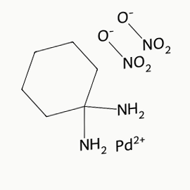 NC1(N)CCCCC1.O=[N+]([O-])[O-].O=[N+]([O-])[O-].[Pd+2]